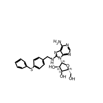 Nc1ncnc2c1nc(NCc1ccc(Sc3ccccc3)cc1)n2[C@@H]1O[C@H](CO)[C@@H](O)[C@H]1O